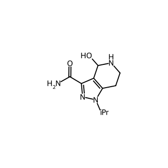 CC(C)n1nc(C(N)=O)c2c1CCNC2O